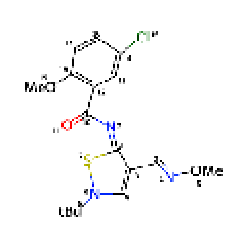 CO/N=C/c1cn(C(C)(C)C)s/c1=N\C(=O)c1cc(Cl)ccc1OC